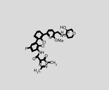 COc1nc(-c2cccc(-c3cc(F)cc(NC(=O)c4nc(C)nn(C)c4=O)c3Cl)c2Cl)ccc1CN[C@@H]1CCOC[C@@H]1O